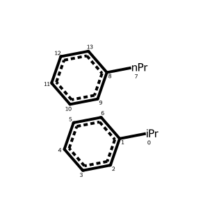 CC(C)c1ccccc1.CCCc1ccccc1